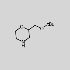 CC(C)(C)OCC1CNCCO1